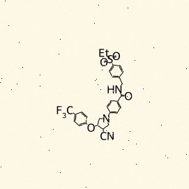 CCS(=O)(=O)c1ccc(CNC(=O)c2ccc(N3CC(C#N)C(Oc4ccc(C(F)(F)F)cc4)C3)cc2)cc1